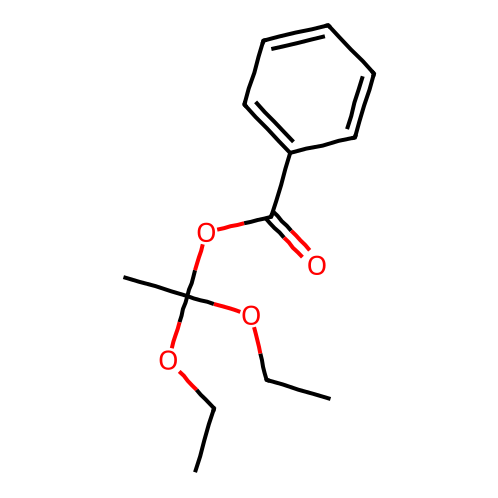 CCOC(C)(OCC)OC(=O)c1ccccc1